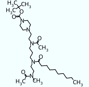 CCCCCCCCCC(=O)N(CCCN(CCN1CCN(C(=O)OC(C)(C)C)CC1)C(C)=O)CCN(C)C(C)=O